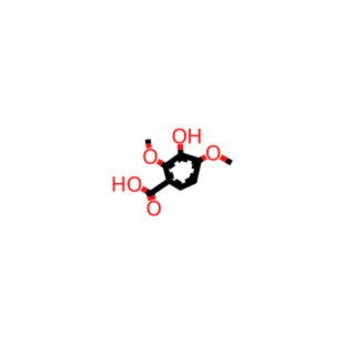 COc1ccc(C(=O)O)c(OC)c1O